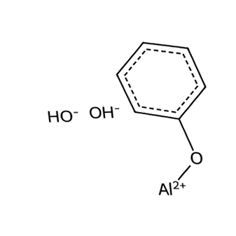 [Al+2][O]c1ccccc1.[OH-].[OH-]